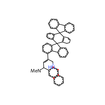 CNC(/C=C(\CNCc1ccccc1)c1cccc2c1-c1ccccc1C21C2=C(C=CCC2)C2(c3ccccc3-c3ccccc32)c2ccccc21)c1ccccc1